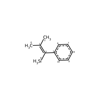 CC(C)=C([SiH3])c1ccccc1